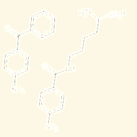 Nc1ccc(C(=O)NCCCC[C@H](N)C(=O)O)cc1.Nc1ccc(C(=O)c2ccccc2)cc1